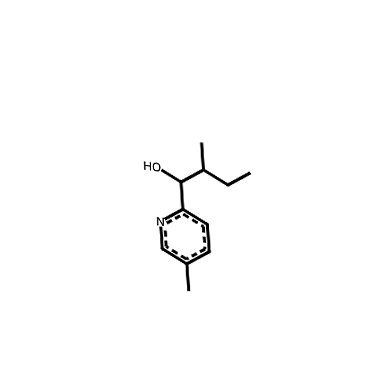 CCC(C)C(O)c1ccc(C)cn1